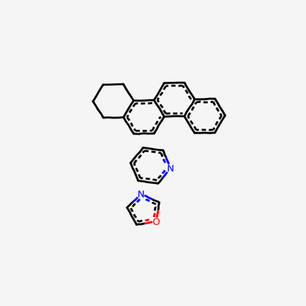 c1ccc2c(c1)ccc1c3c(ccc12)CCCC3.c1ccncc1.c1cocn1